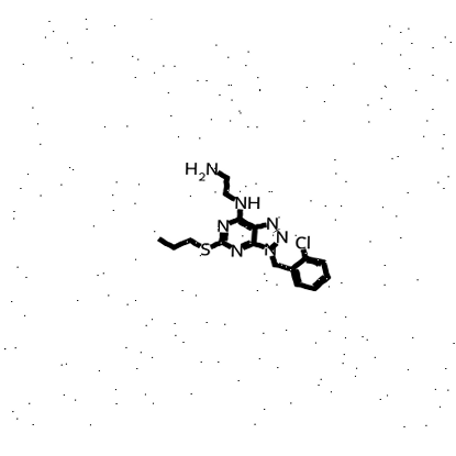 CCCSc1nc(NCCN)c2nnn(Cc3ccccc3Cl)c2n1